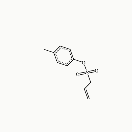 C=CCS(=O)(=O)Oc1ccc(C)cc1